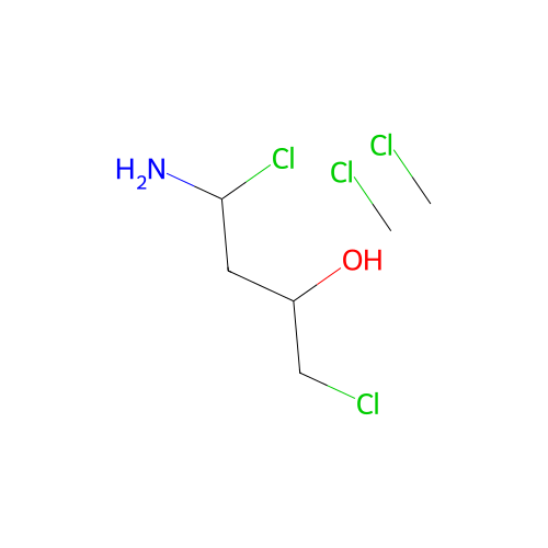 CCl.CCl.NC(Cl)CC(O)CCl